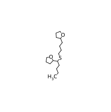 CCCCC(SCCCCC1CCCO1)C1CCCO1